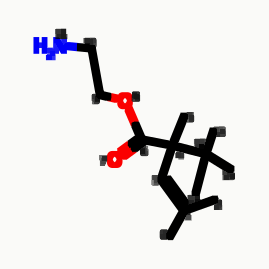 CC(C)=CC(C)(C(=O)OCCN)C(C)(C)C